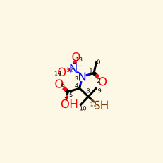 CC(=O)N(C(C(=O)O)C(C)(C)S)[N+](=O)[O-]